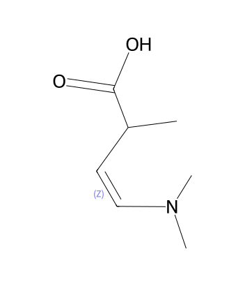 CC(/C=C\N(C)C)C(=O)O